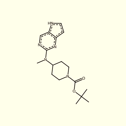 CN(c1ncc2[nH]ccc2n1)C1CCN(C(=O)OC(C)(C)C)CC1